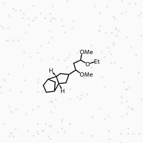 CCOC(CC(OC)C1C[C@@H]2C3CCC(C3)[C@@H]2C1)OC